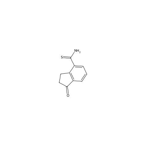 NC(=S)c1cccc2c1CCC2=O